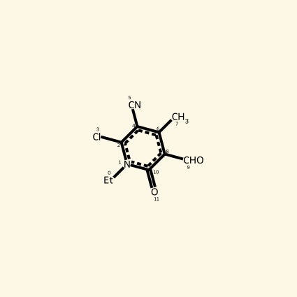 CCn1c(Cl)c(C#N)c(C)c(C=O)c1=O